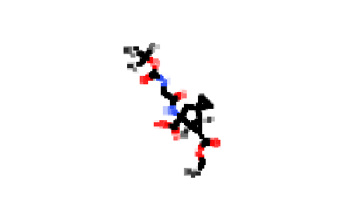 CCOC(=O)[C@H]1[C@H]2[C@@H]1[C@](NC(=O)CNC(=O)OC(C)(C)C)(C(=O)O)CC21CC1